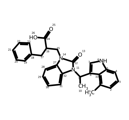 Cc1cccc2[nH]cc(C(C)n3c(=O)n(CC(Cc4ccccc4)C(=O)O)c4ccccc43)c12